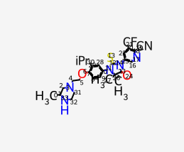 CC1CN(CCOc2ccc(N3C(=S)N(c4cnc(C#N)c(C(F)(F)F)c4)C(=O)C3(C)C)cc2C(C)C)CCN1